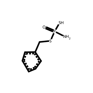 NP(=O)(S)SCc1ccccc1